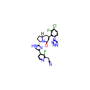 N#CCc1nccc(-c2c[nH]c([C@@H]3CC[C@@H]4CC(c5c(-n6cnnn6)ccc(Cl)c5F)=CC(=O)N43)n2)c1F